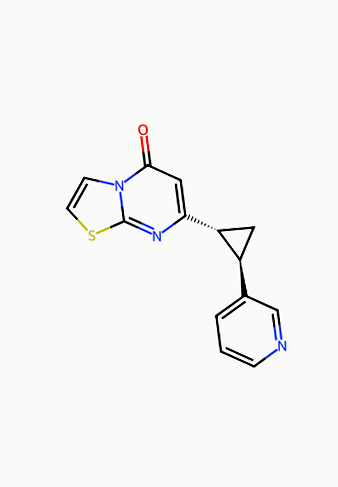 O=c1cc([C@@H]2C[C@H]2c2cccnc2)nc2sccn12